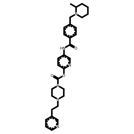 CC1CCCCN1Cc1ccc(C(=O)Nc2ccc(OC(=O)N3CCN(CCc4cccnc4)CC3)nc2)cc1